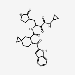 O=C(NC1CC1)C(=O)C(CC1CCNC1=O)NC(=O)C1CC2(CCN1C(=O)c1cc3ccccc3[nH]1)CC2